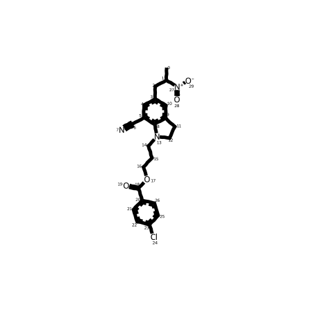 CC(Cc1cc(C#N)c2c(c1)CCN2CCCOC(=O)c1ccc(Cl)cc1)[N+](=O)[O-]